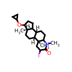 CN1C(=O)C(I)C[C@@]2(C)C1CC[C@@H]1[C@H]2CC[C@]2(C)C(OC3CC3)CC[C@@H]12